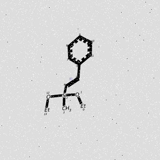 CCO[Si](C)(/C=C/c1ccccc1)OCC